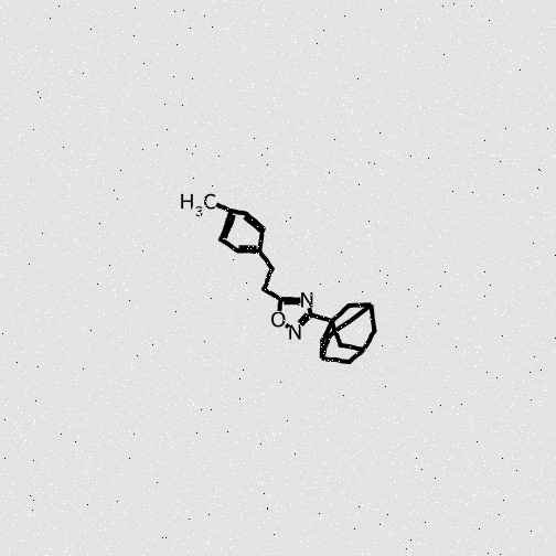 Cc1ccc(CCc2nc(C34CC5CC(CC(C5)C3)C4)no2)cc1